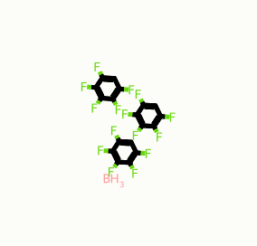 B.Fc1cc(F)c(F)c(F)c1F.Fc1cc(F)c(F)c(F)c1F.Fc1cc(F)c(F)c(F)c1F